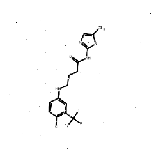 Cc1cnc(NC(=O)CCCNc2ccc(Cl)c(C(F)(F)F)c2)s1